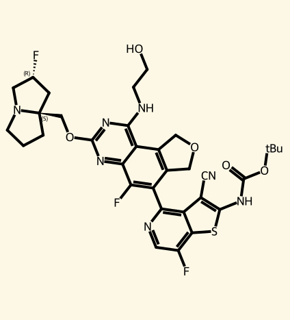 CC(C)(C)OC(=O)Nc1sc2c(F)cnc(-c3c4c(c5c(NCCO)nc(OC[C@@]67CCCN6C[C@H](F)C7)nc5c3F)COC4)c2c1C#N